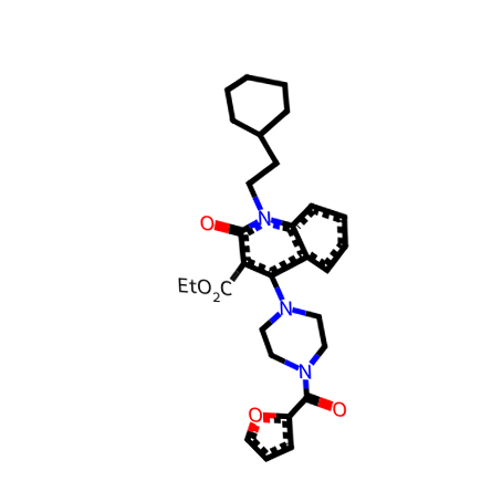 CCOC(=O)c1c(N2CCN(C(=O)c3ccco3)CC2)c2ccccc2n(CCC2CCCCC2)c1=O